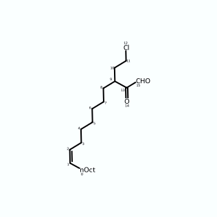 CCCCCCCC/C=C\CCCCCCC(CCCl)C(=O)C=O